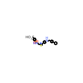 O=C(O)c1ccc(S(=O)(=O)NCCc2nc(-c3ccc(NCCc4ccc(C5CCCCC5)cc4)cc3)cs2)cc1